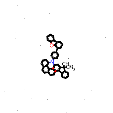 CC1(C)c2ccccc2-c2ccc(N(c3ccc(-c4cccc5c4oc4ccccc45)cc3)c3cccc4ccc5ccccc5c34)cc21